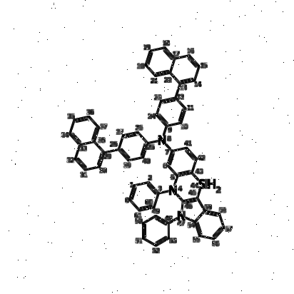 c1ccc(N2c3cc(N(c4ccc(-c5cccc6ccccc56)cc4)c4ccc(-c5cccc6ccccc56)cc4)ccc3[SiH2]c3c2n(-c2ccccc2)c2ccccc32)cc1